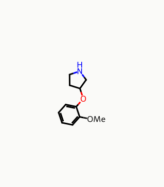 COc1ccccc1OC1CCNC1